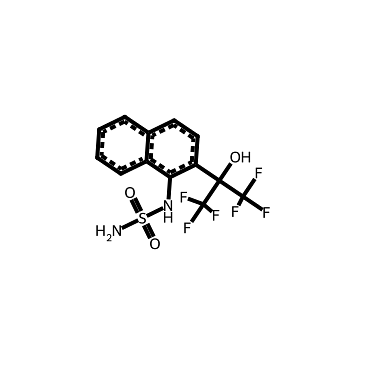 NS(=O)(=O)Nc1c(C(O)(C(F)(F)F)C(F)(F)F)ccc2ccccc12